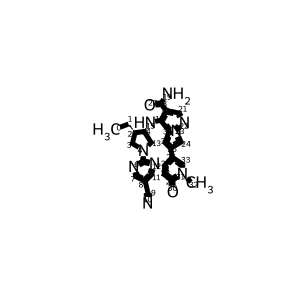 CC[C@H]1CN(c2ncc(C#N)cn2)C[C@H]1Nc1c(C(N)=O)cnn2cc(-c3ccc(=O)n(C)c3)cc12